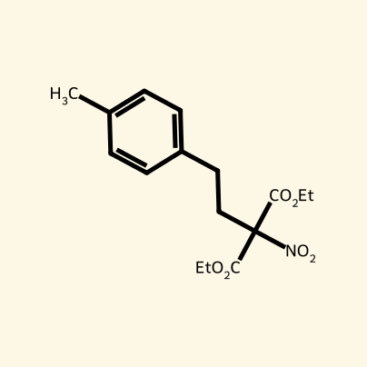 CCOC(=O)C(CCc1ccc(C)cc1)(C(=O)OCC)[N+](=O)[O-]